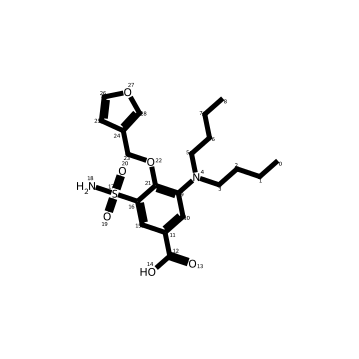 CCCCN(CCCC)c1cc(C(=O)O)cc(S(N)(=O)=O)c1OCc1ccoc1